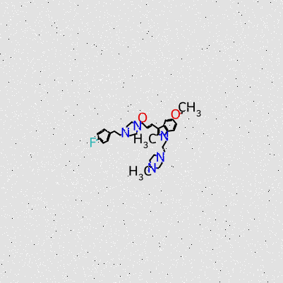 CCOc1ccc2c(c1)c(/C=C/C(=O)N1CCN(CCc3ccc(F)cc3)CC1)c(C)n2CCCN1CCN(C)CC1